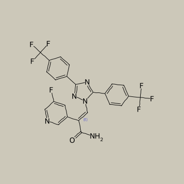 NC(=O)/C(=C/n1nc(-c2ccc(C(F)(F)F)cc2)nc1-c1ccc(C(F)(F)F)cc1)c1cncc(F)c1